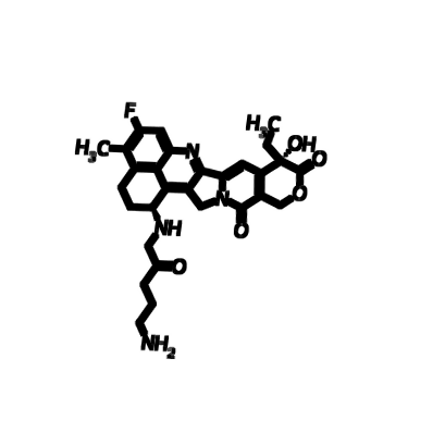 CC[C@@]1(O)C(=O)OCc2c1cc1n(c2=O)Cc2c-1nc1cc(F)c(C)c3c1c2[C@@H](NCC(=O)CCCN)CC3